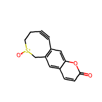 O=c1ccc2cc3c(cc2o1)C#CCC[S+]([O-])C3